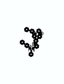 c1ccc(-c2ccc(-c3nc(-c4ccccc4)nc(-c4cccc5c4oc4ccc(-c6ccc7oc8cccc(-n9c%10ccccc%10c%10cc(-c%11ccccc%11)ccc%109)c8c7c6)cc45)n3)cc2)cc1